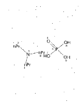 CCCN(CCC)CCC.O=P(O)(O)O